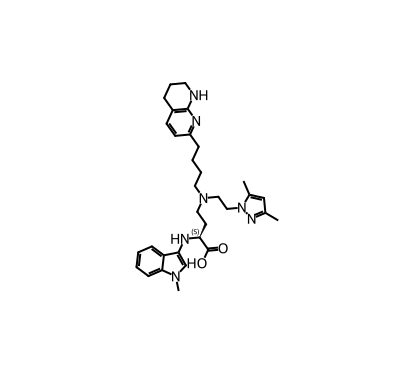 Cc1cc(C)n(CCN(CCCCc2ccc3c(n2)NCCC3)CC[C@H](Nc2cn(C)c3ccccc23)C(=O)O)n1